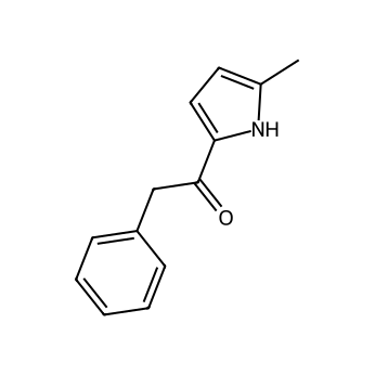 Cc1ccc(C(=O)Cc2ccccc2)[nH]1